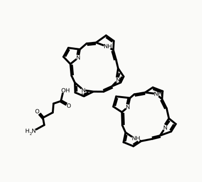 C1=Cc2cc3ccc(cc4nc(cc5ccc(cc1n2)[nH]5)C=C4)[nH]3.C1=Cc2cc3ccc(cc4nc(cc5ccc(cc1n2)[nH]5)C=C4)[nH]3.NCC(=O)CCC(=O)O